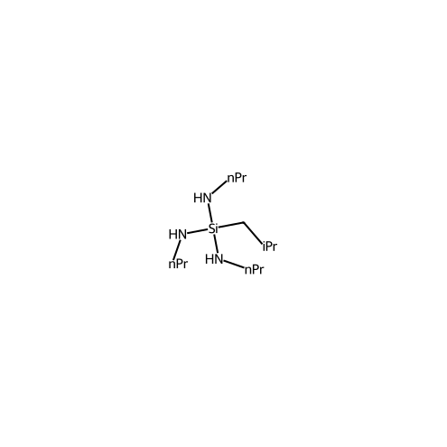 CCCN[Si](CC(C)C)(NCCC)NCCC